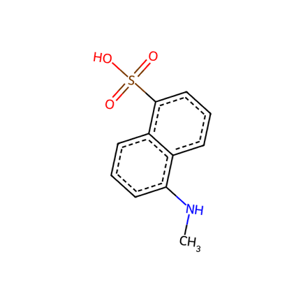 CNc1cccc2c(S(=O)(=O)O)cccc12